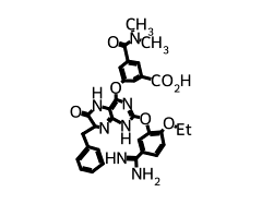 CCOc1ccc(C(=N)N)cc1OC1=NC(Oc2cc(C(=O)O)cc(C(=O)N(C)C)c2)=C2NC(=O)C(Cc3ccccc3)N=C2N1